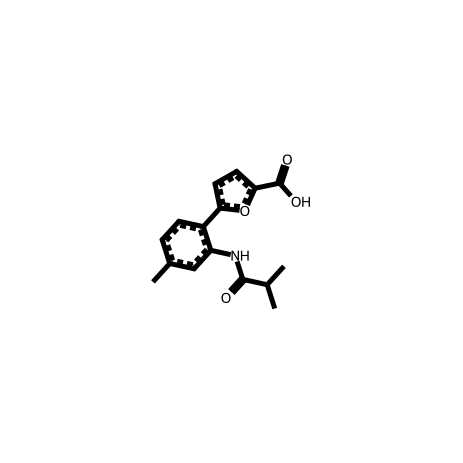 Cc1ccc(-c2ccc(C(=O)O)o2)c(NC(=O)C(C)C)c1